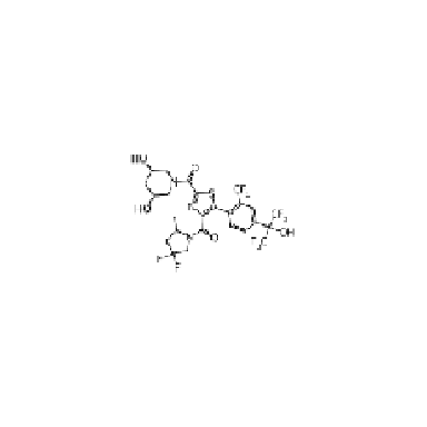 CC1CC(F)(F)CN1C(=O)c1nc(C(=O)N2C[C@H](O)C[C@H](O)C2)sc1-c1ccc(C(O)(C(F)(F)F)C(F)(F)F)cc1C(F)(F)F